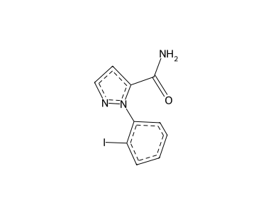 NC(=O)c1ccnn1-c1ccccc1I